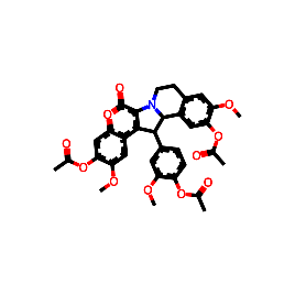 COc1cc(C2c3c(c(=O)oc4cc(OC(C)=O)c(OC)cc34)N3CCc4cc(OC)c(OC(C)=O)cc4C23)ccc1OC(C)=O